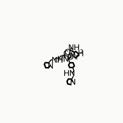 NC(=O)c1ccccn1.O=C(N[C@@H](CCCNCc1ccccn1)C(=O)O)c1ccc(CNCc2ccccn2)cc1